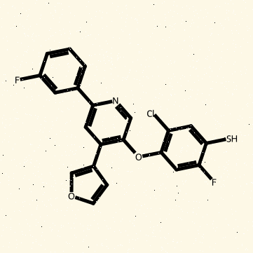 Fc1cccc(-c2cc(-c3ccoc3)c(Oc3cc(F)c(S)cc3Cl)cn2)c1